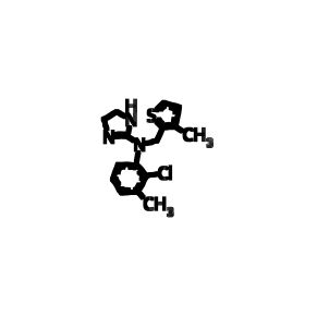 Cc1ccsc1CN(C1=NCCN1)c1cccc(C)c1Cl